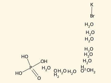 O.O.O.O.O.O.O.O.O.O.O.O.O=P(O)(O)O.[K][Br]